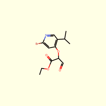 CCOC(=O)C(C=O)Oc1cc(Br)ncc1C(C)C